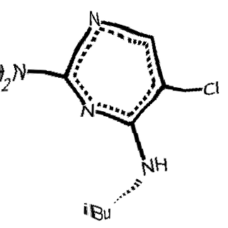 CC[C@@H](C)Nc1nc(N)ncc1Cl